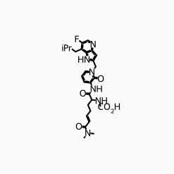 CC(C)Cc1c(F)cnc2cc(Cn3cccc(NC(=O)C(CCC=CC(=O)N(C)C)NC(=O)O)c3=O)[nH]c12